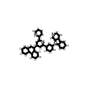 c1ccc(-c2cc(-c3cc4ccccc4c4ccccc34)cc(-c3cccc(-n4c5ccccc5c5ccncc54)c3)n2)nc1